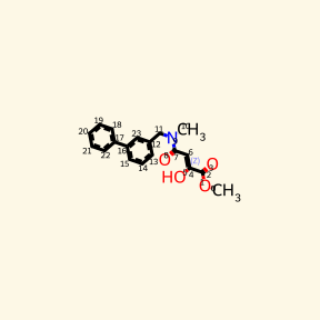 COC(=O)/C(O)=C/C(=O)N(C)Cc1cccc(-c2ccccc2)c1